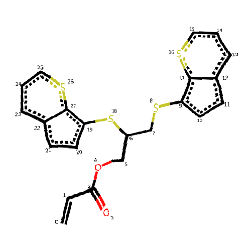 C=CC(=O)OCC(CSc1ccc2cccsc1-2)Sc1ccc2cccsc1-2